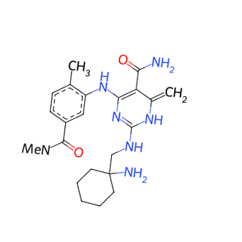 C=C1NC(NCC2(N)CCCCC2)=NC(Nc2cc(C(=O)NC)ccc2C)=C1C(N)=O